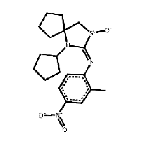 Cc1cc([N+](=O)[O-])ccc1N=C1N(C2CCCC2)C2(CCCC2)C[S+]1[O-]